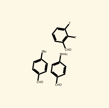 CC(=O)Nc1ccc(C=O)cc1.CC(C)(C)c1ccc(C=O)cc1.O=Cc1cccc(F)c1F